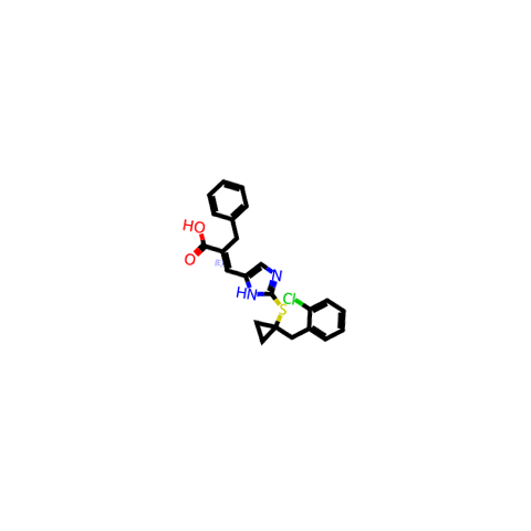 O=C(O)/C(=C/c1cnc(SC2(Cc3ccccc3Cl)CC2)[nH]1)Cc1ccccc1